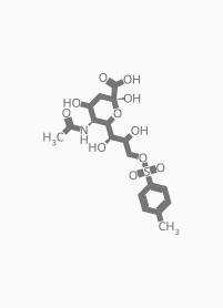 CC(=O)N[C@@H]1C(O)C[C@@](O)(C(=O)O)OC1[C@H](O)C(O)COS(=O)(=O)c1ccc(C)cc1